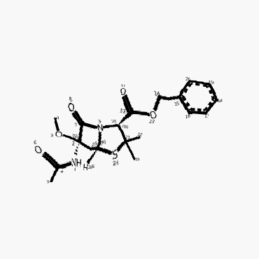 CO[C@@]1(NC(C)=O)C(=O)N2[C@@H](C(=O)OCc3ccccc3)C(C)(C)S[C@@H]21